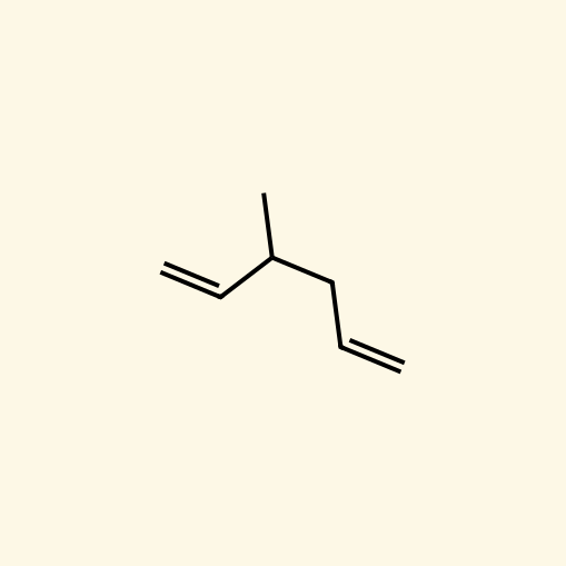 C=CCC(C)C=C